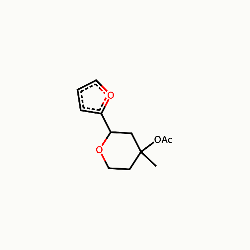 CC(=O)OC1(C)CCOC(c2ccco2)C1